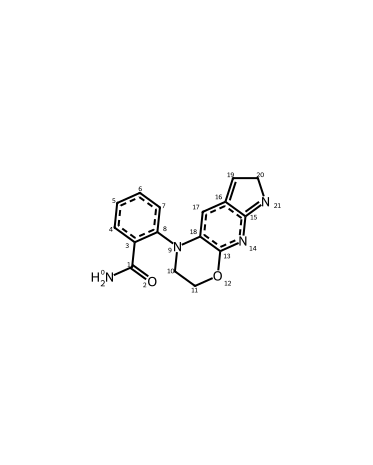 NC(=O)c1ccccc1N1CCOc2nc3c(cc21)=CCN=3